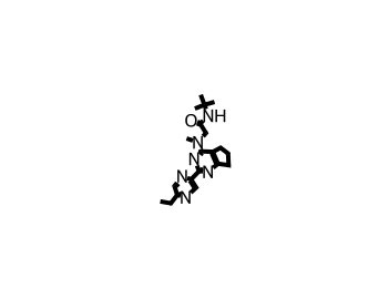 CCc1cnc(-c2nc3c(c(N(C)CC(=O)NC(C)(C)C)n2)CCC3)cn1